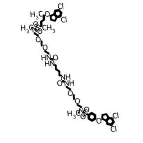 C/C(=C\C=C(/C)S(=O)(=O)N(C)CCOCCOCCNC(=O)NCCCCNC(=O)NCCOCCOCCN(C)S(=O)(=O)c1ccc(O[C@@H]2CCc3c(Cl)cc(Cl)cc32)cc1)O[C@@H]1CCc2c(Cl)cc(Cl)cc21